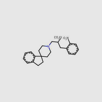 CCOC(=O)C(Cc1ccccc1[N+](=O)[O-])CN1CCC2(CCc3ccccc32)CC1